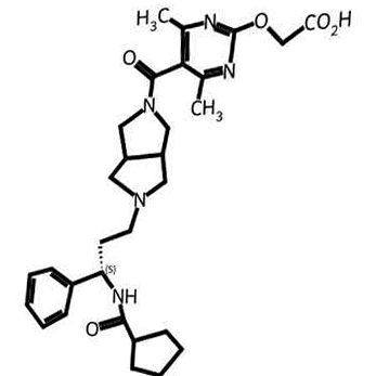 Cc1nc(OCC(=O)O)nc(C)c1C(=O)N1CC2CN(CC[C@H](NC(=O)C3CCCC3)c3ccccc3)CC2C1